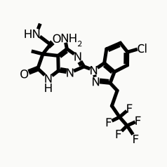 CNC(=O)C1(C)C(=O)Nc2nc(-n3nc(CCC(F)(F)C(F)(F)F)c4cc(Cl)ccc43)nc(N)c21